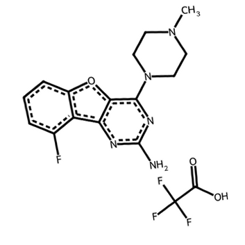 CN1CCN(c2nc(N)nc3c2oc2cccc(F)c23)CC1.O=C(O)C(F)(F)F